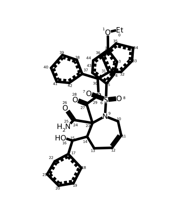 CCOc1ccc(S(=O)(=O)N2CC=CCC(C(O)c3ccccc3)C2(C(N)=O)C(=O)OC(c2ccccc2)c2ccccc2)cc1